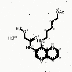 CCOCC(=O)Nc1cnc2cccnc2c1NCCCCCOC(C)=O.Cl